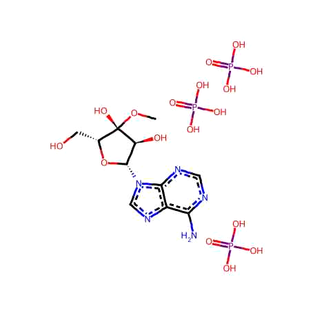 CO[C@@]1(O)[C@@H](CO)O[C@@H](n2cnc3c(N)ncnc32)[C@@H]1O.O=P(O)(O)O.O=P(O)(O)O.O=P(O)(O)O